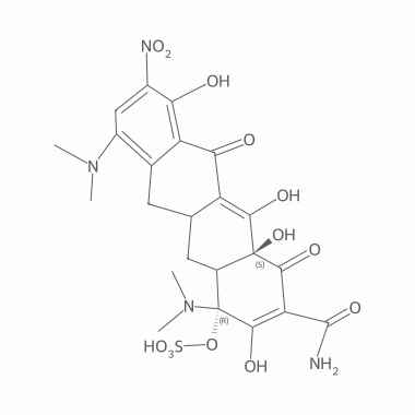 CN(C)c1cc([N+](=O)[O-])c(O)c2c1CC1CC3[C@@](O)(C(=O)C(C(N)=O)=C(O)[C@@]3(OS(=O)(=O)O)N(C)C)C(O)=C1C2=O